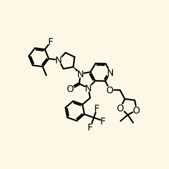 Cc1cccc(F)c1N1CC[C@@H](n2c(=O)n(Cc3ccccc3C(F)(F)F)c3c(OCC4COC(C)(C)O4)nccc32)C1